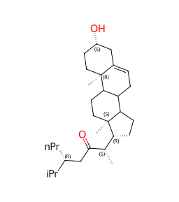 CCC[C@H](CC(=O)[C@@H](C)[C@H]1CCC2C3CC=C4C[C@@H](O)CC[C@]4(C)C3CC[C@@]21C)C(C)C